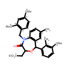 CCOC(=O)CC1OC(c2cccc(OC)c2C)c2cc(C)ccc2N(Cc2ccc(OC)cc2OC)C1=O